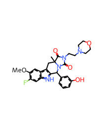 COc1cc2c3c([nH]c2cc1F)C(c1cccc(O)c1)N1C(=O)N(CCN2CCOCC2)C(=O)C1(C)C3